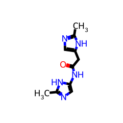 Cc1ncc(CC(=O)Nc2cnc(C)[nH]2)[nH]1